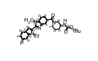 CCn1c(-c2nc3cc(C(=O)N4CCC[C@@H](NC(=O)OC(C)(C)C)C4)ccc3n2C)cc2ccc(F)cc21